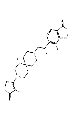 CC1=C(N2CCC3(CCN(C[C@H](O)c4ccc5c(c4C)COC5=O)CC3)[C@H](C)C2)COC1=O